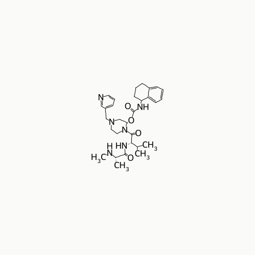 CN[C@@H](C)C(=O)N[C@H](C(=O)N1CCN(Cc2cccnc2)C[C@@H]1OC(=O)NC1CCCc2ccccc21)C(C)C